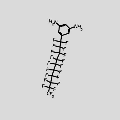 Nc1cc(N)cc(C(F)(F)C(F)(F)C(F)(F)C(F)(F)C(F)(F)C(F)(F)C(F)(F)C(F)(F)C(F)(F)C(F)(F)F)c1